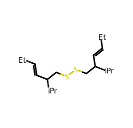 CCC=CC(CSSCC(C=CCC)C(C)C)C(C)C